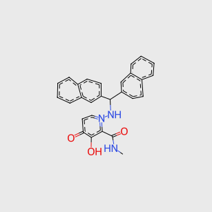 CNC(=O)c1c(O)c(=O)ccn1NC(c1ccc2ccccc2c1)c1ccc2ccccc2c1